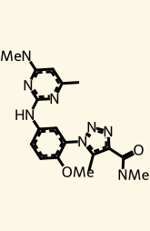 CNC(=O)c1nnn(-c2cc(Nc3nc(C)cc(NC)n3)ccc2OC)c1C